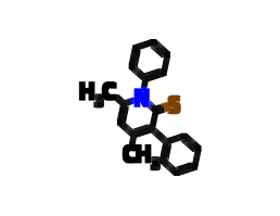 Cc1cc(C)n(-c2ccccc2)c(=S)c1-c1ccccc1